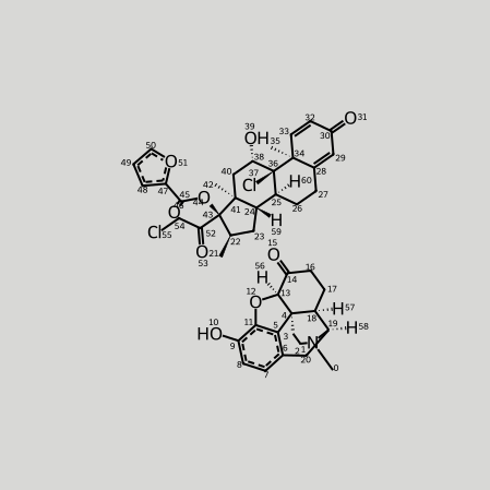 CN1CC[C@]23c4c5ccc(O)c4O[C@H]2C(=O)CC[C@H]3[C@H]1C5.C[C@@H]1C[C@H]2[C@@H]3CCC4=CC(=O)C=C[C@]4(C)[C@@]3(Cl)[C@@H](O)C[C@]2(C)[C@@]1(OC(=O)c1ccco1)C(=O)CCl